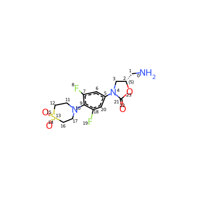 NC[C@H]1CN(c2cc(F)c(N3CCS(=O)(=O)CC3)c(F)c2)C(=O)O1